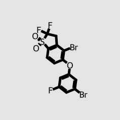 O=S1(=O)c2ccc(Oc3cc(F)cc(Br)c3)c(Br)c2CC1(F)F